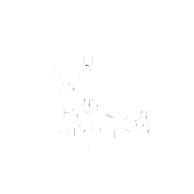 C=CC(=O)N1C[C@@H](n2nc(C#Cc3cc4ncn(C5CC5)c4cc3F)c(C(N)=O)c2NCCO)C[C@@H]1COC